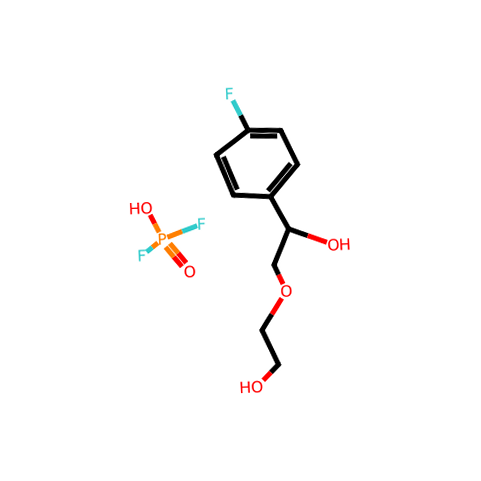 O=P(O)(F)F.OCCOCC(O)c1ccc(F)cc1